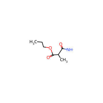 CCCOC(=O)C(C)C([NH])=O